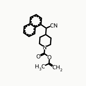 C=C(C)OC(=O)N1CCC(C(C#N)c2cccc3ccccc23)CC1